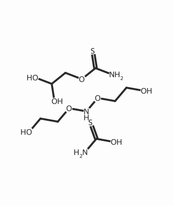 NC(=S)OCC(O)O.NC(O)=S.OCCONOCCO